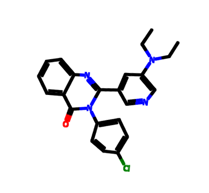 CCN(CC)c1cncc(-c2nc3ccccc3c(=O)n2-c2ccc(Cl)cc2)c1